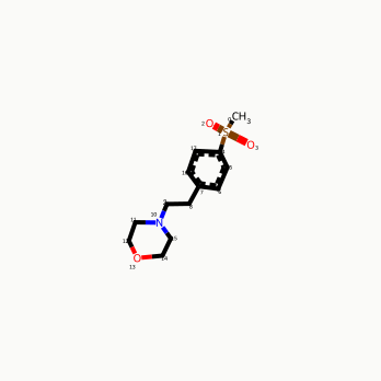 CS(=O)(=O)c1ccc(C[CH]N2CCOCC2)cc1